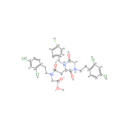 COC(=O)CN(CCc1ccc(Cl)cc1Cl)C(=O)CC1C(=O)N(CCc2ccc(Cl)cc2Cl)CC(=O)N1Cc1ccc(F)cc1